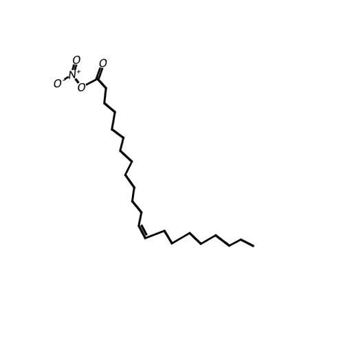 CCCCCCCC/C=C\CCCCCCCCCCCC(=O)O[N+](=O)[O-]